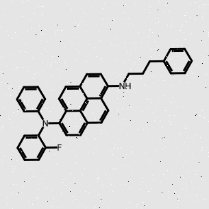 Fc1ccccc1N(c1ccccc1)c1ccc2ccc3c(NCCCc4ccccc4)ccc4ccc1c2c43